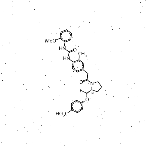 COc1ccccc1NC(=O)Nc1ccc(CC(=O)N2CCC[C@H]2C(F)Oc2ccc(C(=O)O)cc2)cc1C